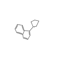 c1ccc2c([C]3CCCC3)cccc2c1